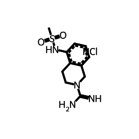 CS(=O)(=O)Nc1cccc2c1CCN(C(=N)N)C2.Cl